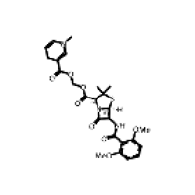 COc1cccc(OC)c1C(=O)NC1C(=O)N2[C@@H](C(=O)OCOC(=O)C3=CN(C)C=CC3)C(C)(C)S[C@@H]12